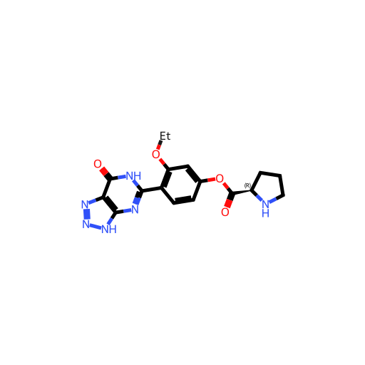 CCOc1cc(OC(=O)[C@H]2CCCN2)ccc1-c1nc2[nH]nnc2c(=O)[nH]1